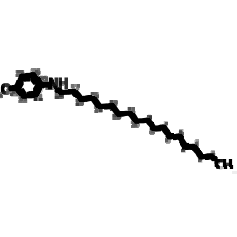 [CH2]CCCCCCCCCCCCCCCCC[CH]Nc1ccc(C)cc1